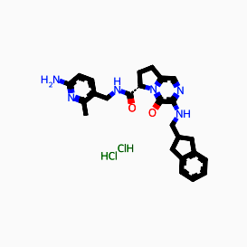 Cc1nc(N)ccc1CNC(=O)[C@@H]1CCc2cnc(NCC3Cc4ccccc4C3)c(=O)n21.Cl.Cl